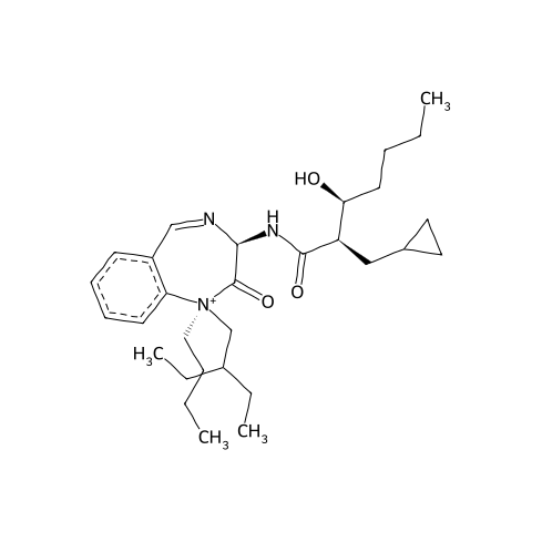 CCCC[C@H](O)[C@@H](CC1CC1)C(=O)N[C@@H]1N=Cc2ccccc2[N@+](CCCC)(CC(CC)CC)C1=O